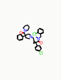 CN(Cc1ccccc1Cl)C(=O)C1(c2ccc(Cl)cc2)CC1CN1CCC(C(=O)N2CCCCC2)(c2ccccc2)CC1